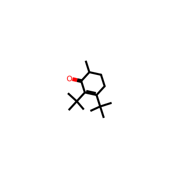 CC1CCC(C(C)(C)C)=C(C(C)(C)C)C1=O